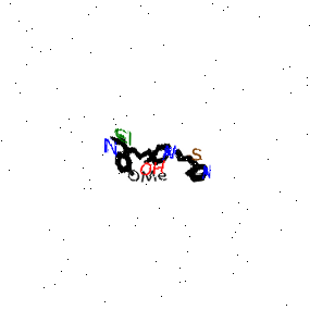 COc1ccc2ncc(Cl)c(CCCC3(CO)CCN(CCC(=S)c4cccnc4)CC3)c2c1